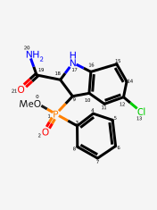 COP(=O)(c1ccccc1)C1c2cc(Cl)ccc2NC1C(N)=O